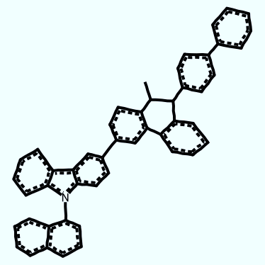 CC1c2ccc(-c3ccc4c(c3)c3ccccc3n4-c3cccc4ccccc34)cc2-c2ccccc2C1c1ccc(-c2ccccc2)cc1